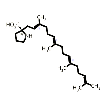 CC(C)=CCC/C(C)=C/CC/C(C)=C/CC/C(C)=C/C[C@@]1(C(=O)O)CCCN1